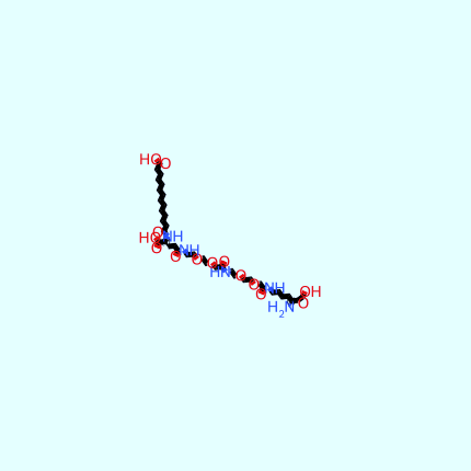 N[C@@H](CCCCNC(=O)COCCOCCNC(=O)COCCOCCNC(=O)CC[C@H](NC(=O)CCCCCCCCCCCCC(=O)O)C(=O)O)C1OC1O